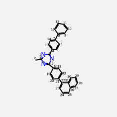 Cc1nc(-c2ccc(-c3ccccc3)cc2)nc(-c2ccc(-c3cccc4ccccc34)cc2)n1